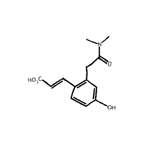 CN(C)C(=O)Cc1cc(O)ccc1C=CC(=O)O